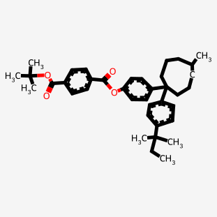 CCC(C)(C)c1ccc(C2(c3ccc(OC(=O)c4ccc(C(=O)OC(C)(C)C)cc4)cc3)CCCC(C)CCC2)cc1